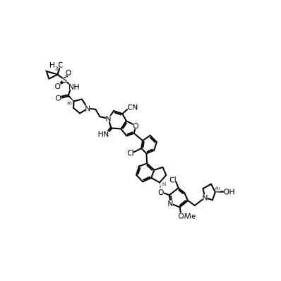 COc1nc(O[C@H]2CCc3c(-c4cccc(-c5cc6c(=N)n(CCN7CC[C@@H](C(=O)NS(=O)(=O)C8(C)CC8)C7)cc(C#N)c6o5)c4Cl)cccc32)c(Cl)cc1CN1CC[C@@H](O)C1